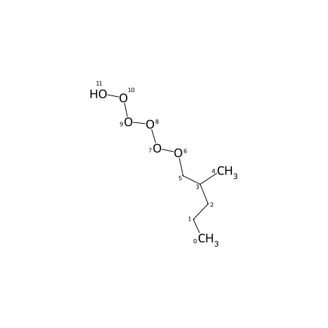 CCCC(C)COOOOOO